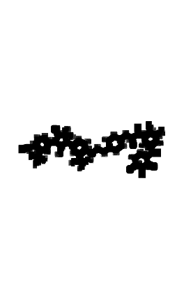 CC(F)(F)c1cc(N2C(=S)N(c3ccc(C#N)c(C(F)(F)F)c3)C(=O)C2(C)C)ccc1OCCN1CCN(CC(=O)Nc2cc(NC3CCC(=O)NC3=O)cc(F)c2F)CC1